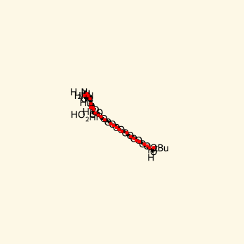 CC(C)(C)OC(=O)NCCOCCOCCOCCOCCOCCOCCOCCOCCOCCOCCOCCNC(=O)CCC(NC(=O)c1ccc(NCc2cnc3nc(N)[nH]c(=O)c3n2)cc1)C(=O)O